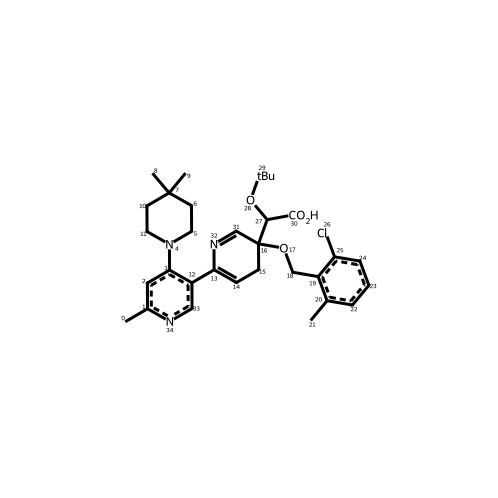 Cc1cc(N2CCC(C)(C)CC2)c(C2=CCC(OCc3c(C)cccc3Cl)(C(OC(C)(C)C)C(=O)O)C=N2)cn1